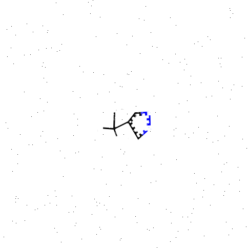 CCCCCCCC(C)(CCCCCC)c1cn[nH]c1